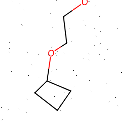 [O]CCOC1CCC1